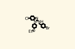 CCOc1ccc(-n2c(NCc3ccc(Br)cc3)nc3ccc(Cl)cc32)cc1